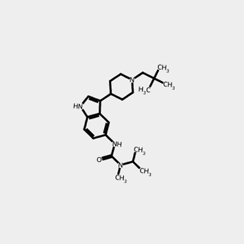 CC(C)N(C)C(=O)Nc1ccc2[nH]cc(C3CCN(CC(C)(C)C)CC3)c2c1